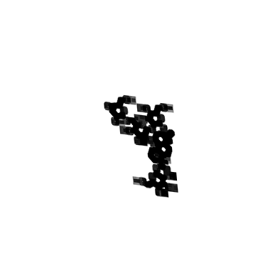 C=C1C[C@@]23CC[C@H]4[C@@](C)(CCC[C@@]4(C)C(=O)OC4OC(CO)C(O)C(O)C4O)[C@@H]2CC[C@]1(OC1OC(CO)C(O)C(O)C1OC1OC(COC2OC(CO)C4OC4C2O)C(O)C(O)C1O)C3